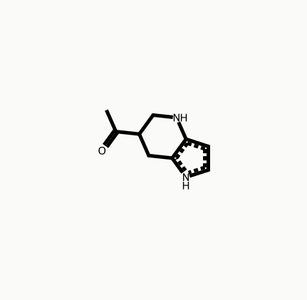 CC(=O)C1CNc2cc[nH]c2C1